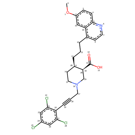 COc1ccc2nccc(CCC[C@@H]3CCN(CC#Cc4c(Cl)cc(Cl)cc4Cl)C[C@@H]3C(=O)O)c2c1